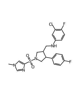 Cn1cnc(S(=O)(=O)N2CC(CNc3ccc(F)c(Cl)c3)C(c3ccc(F)cc3)C2)c1